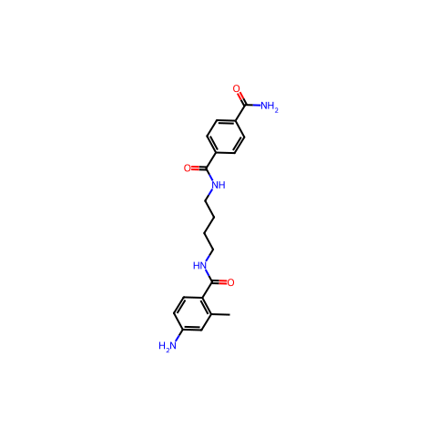 Cc1cc(N)ccc1C(=O)NCCCCNC(=O)c1ccc(C(N)=O)cc1